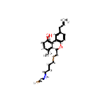 C=CCc1ccc(OCCSCCCCN=C=S)c(-c2cc(CCC)ccc2O)c1